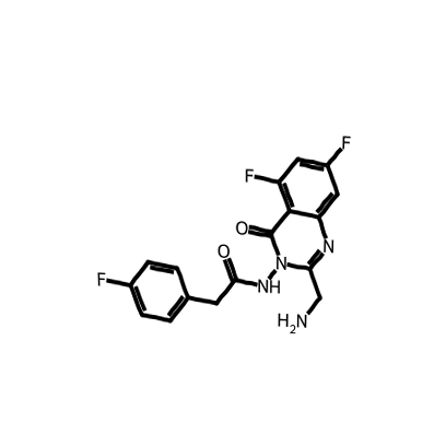 NCc1nc2cc(F)cc(F)c2c(=O)n1NC(=O)Cc1ccc(F)cc1